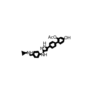 CC(=O)Oc1cc(O)ccc1-c1ccc(-c2cc(Nc3ccc(CNC4CC4)cc3)n[nH]2)cc1